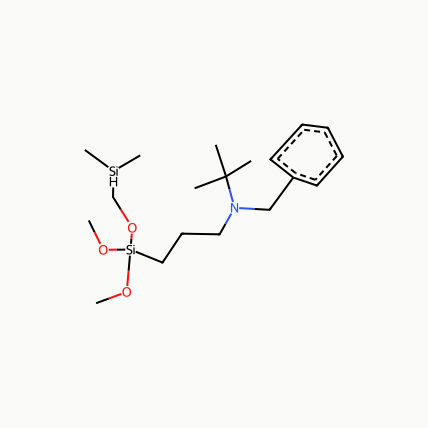 CO[Si](CCCN(Cc1ccccc1)C(C)(C)C)(OC)OC[SiH](C)C